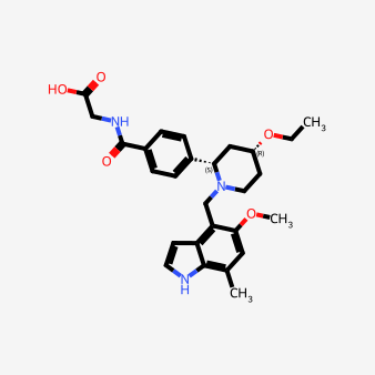 CCO[C@@H]1CCN(Cc2c(OC)cc(C)c3[nH]ccc23)[C@H](c2ccc(C(=O)NCC(=O)O)cc2)C1